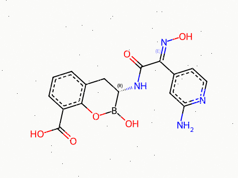 Nc1cc(/C(=N\O)C(=O)N[C@H]2Cc3cccc(C(=O)O)c3OB2O)ccn1